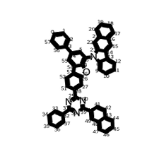 c1ccc(-c2cc(-n3c4ccccc4c4cc5ccccc5cc43)c3oc4cc(-c5nc(-c6ccccc6)nc(-c6ccc7ccccc7c6)n5)ccc4c3c2)cc1